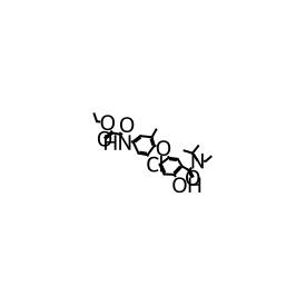 CCOC(=O)C(=O)Nc1cc(C)c(Oc2ccc(O)c(C(=O)N(CC)C(C)C)c2)c(Cl)c1